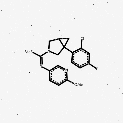 COc1ccc(/N=C(/SC)N2CC3CC3(c3ccc(F)cc3Cl)C2)cn1